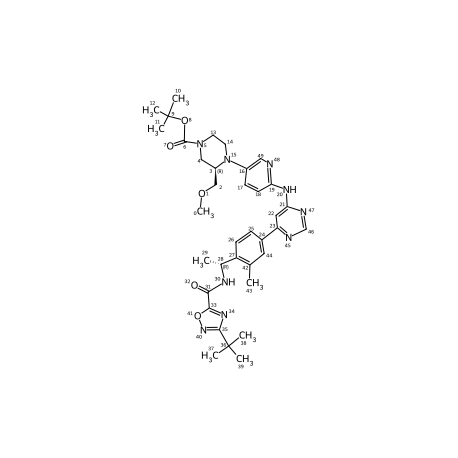 COC[C@H]1CN(C(=O)OC(C)(C)C)CCN1c1ccc(Nc2cc(-c3ccc([C@@H](C)NC(=O)c4nc(C(C)(C)C)no4)c(C)c3)ncn2)nc1